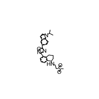 CC(C)n1ccc2cc(-c3nc(-c4cccc5c4CCCC5NCCS(C)(=O)=O)no3)ccc21